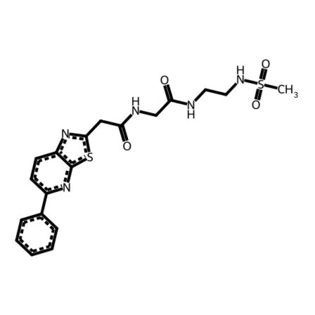 CS(=O)(=O)NCCNC(=O)CNC(=O)Cc1nc2ccc(-c3ccccc3)nc2s1